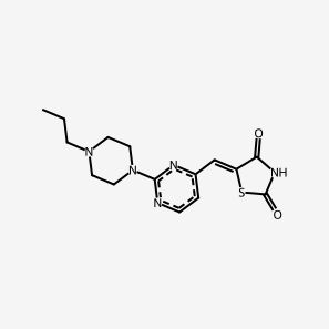 CCCN1CCN(c2nccc(/C=C3\SC(=O)NC3=O)n2)CC1